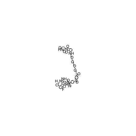 C[C@@H]1CN(C(=O)c2ccc(NC(=O)/C(N)=C/C(OCc3c(Cl)ccc(F)c3Cl)=C(N)N)cc2)C[C@H](C)N1C(=O)CCOCCOCCOCCOCCNc1cccc2c1C(=O)N(C1CCC(=O)NC1=O)C2=O